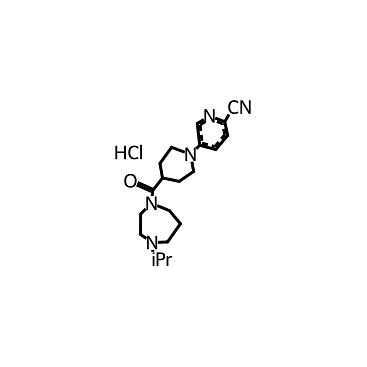 CC(C)N1CCCN(C(=O)C2CCN(c3ccc(C#N)nc3)CC2)CC1.Cl